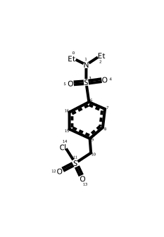 CCN(CC)S(=O)(=O)c1ccc(CS(=O)(=O)Cl)cc1